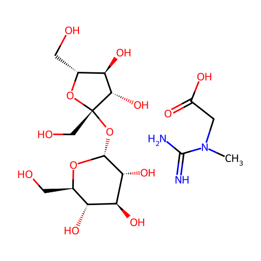 CN(CC(=O)O)C(=N)N.OC[C@H]1O[C@@](CO)(O[C@H]2O[C@H](CO)[C@@H](O)[C@H](O)[C@H]2O)[C@@H](O)[C@@H]1O